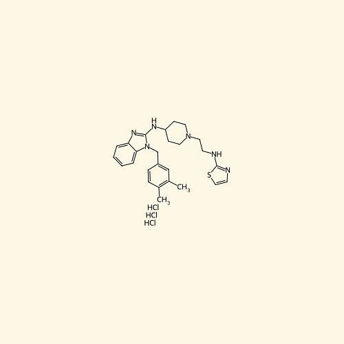 Cc1ccc(Cn2c(NC3CCN(CCNc4nccs4)CC3)nc3ccccc32)cc1C.Cl.Cl.Cl